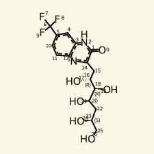 O=c1[nH]c2cc(C(F)(F)F)ccc2nc1C[C@@H](O)[C@@H](O)C(O)C[C@H](O)CO